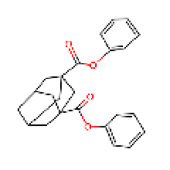 O=C(Oc1ccccc1)C12CC3CC(C1)CC(C(=O)Oc1ccccc1)(C3)C2